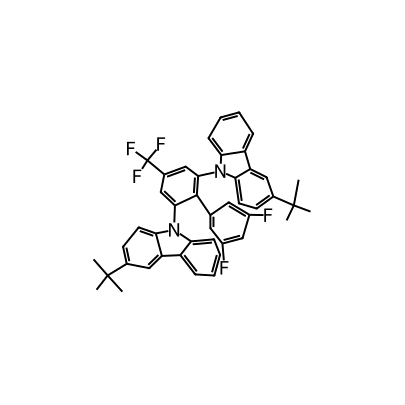 CC(C)(C)c1ccc2c(c1)c1ccccc1n2-c1cc(C(F)(F)F)cc(-n2c3ccccc3c3cc(C(C)(C)C)ccc32)c1-c1cc(F)cc(F)c1